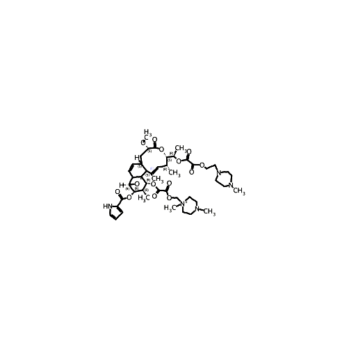 CO[C@H]1C[C@H]2C=CC3C4[C@H](OC(=O)C(=O)OC[N+]5(C)CCN(C)CC5)[C@@H](C)[C@@H](OC(=O)c5ccc[nH]5)[C@@H]3O[C@]42/C(C)=C/[C@@H](C)[C@@H]([C@@H](C)OC(=O)C(=O)OCCN2CCN(C)CC2)OC1=O